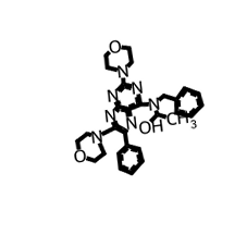 CC(O)N(Cc1ccccc1)c1nc(N2CCOCC2)nc2nc(N3CCOCC3)c(-c3ccccc3)nc12